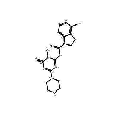 Cn1c(CC(=O)N2CCc3c(F)cccc32)nc(N2CCOCC2)cc1=O